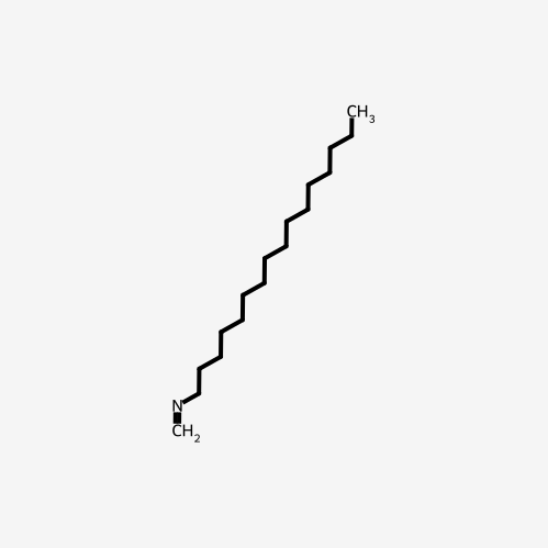 C=NCCCCCCCCCCCCCCCC